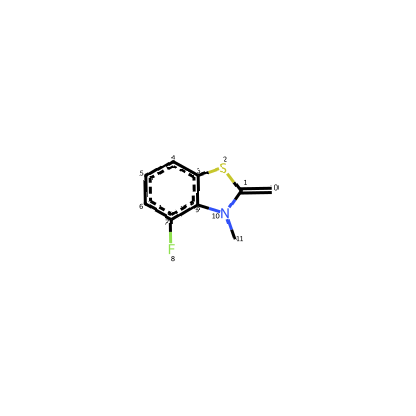 C=C1Sc2cccc(F)c2N1C